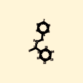 CC(SCc1ccccc1)c1ccccc1